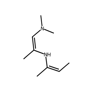 C/C=C(/C)N/C(C)=C\N(C)C